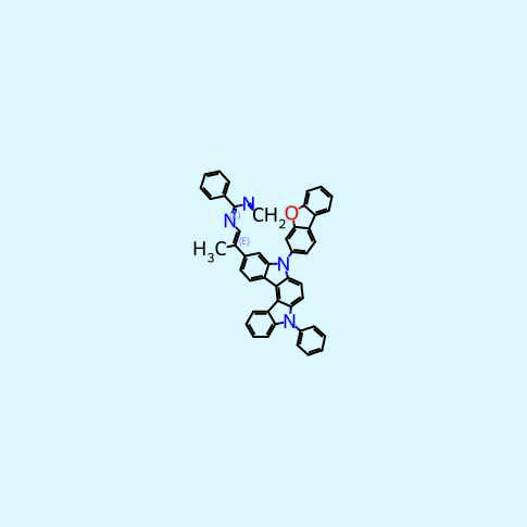 C=N/C(=N\C=C(/C)c1ccc2c3c4c5ccccc5n(-c5ccccc5)c4ccc3n(-c3ccc4c(c3)oc3ccccc34)c2c1)c1ccccc1